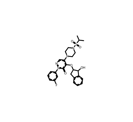 CC(C)S(=O)(=O)N1CCN(c2cnn(-c3cccc(F)c3)c(=O)c2OC2Cc3ccccc3C2O)CC1